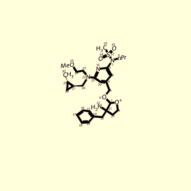 CCCN(c1cc(COC2OCCC2(N)Cc2ccccc2)cc(N(CCOC)C[C@H]2C[C@@H]2C)n1)S(C)(=O)=O